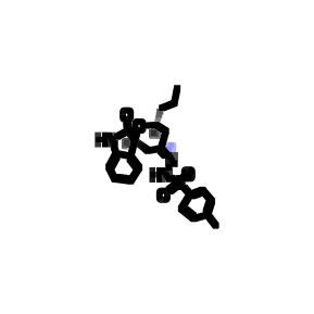 CCC[C@@H]1C/C(=N/NS(=O)(=O)c2ccc(C)cc2)C[C@]2(O1)C(=O)Nc1ccccc12